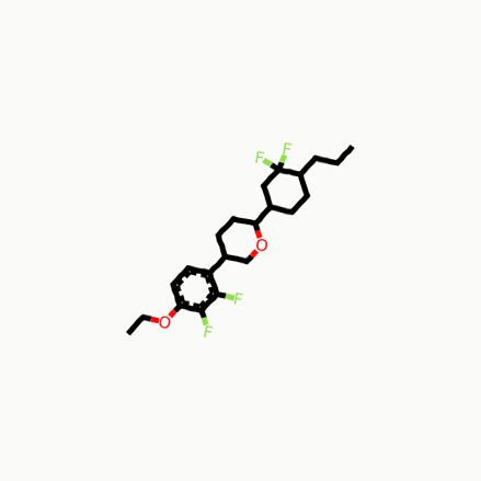 CCCC1CCC(C2CCC(c3ccc(OCC)c(F)c3F)CO2)CC1(F)F